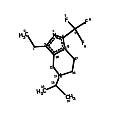 CCc1nc(C(F)(F)F)n2c1CN(C(C)C)CC2